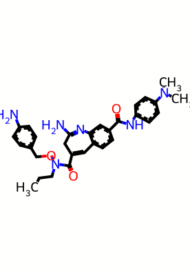 CCCN(OCc1ccc(N)cc1)C(=O)C1=Cc2ccc(C(=O)Nc3ccc(N(C)C)cc3)cc2N=C(N)C1